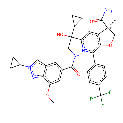 COc1cc(C(=O)NCC(O)(c2cc3c(c(-c4ccc(C(F)(F)F)cc4)n2)OC[C@]3(C)C(N)=O)C2CC2)cc2cn(C3CC3)nc12